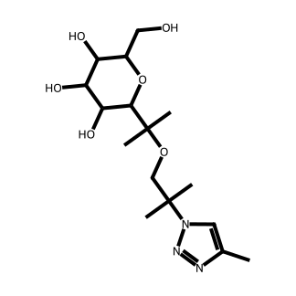 Cc1cn(C(C)(C)COC(C)(C)C2OC(CO)C(O)C(O)C2O)nn1